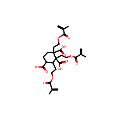 C=C(C)C(=O)OCCC1C(C(=O)O)CCC(CCOC(=O)C(=C)C)(C(=O)O)C1(CCOC(=O)C(=C)C)C(=O)O